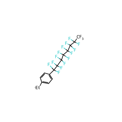 C[CH]c1ccc(C(F)(F)C(F)(F)C(F)(F)C(F)(F)C(F)(F)C(F)(F)C(F)(F)C(F)(F)F)cc1